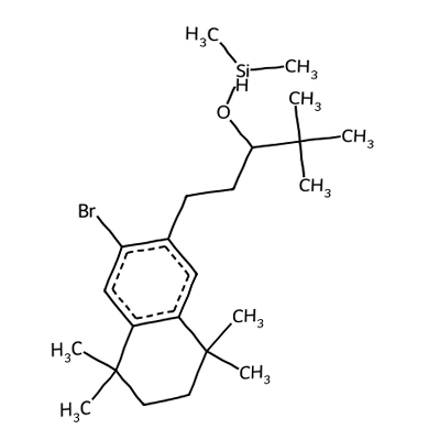 C[SiH](C)OC(CCc1cc2c(cc1Br)C(C)(C)CCC2(C)C)C(C)(C)C